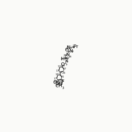 CC(C)c1noc(N2CC3[C@@H](COc4ccc(-c5ccc(S(C)(=O)=O)c(F)c5)cc4)[C@@H]3C2)n1